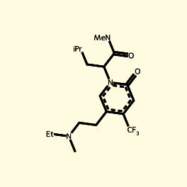 CCN(C)CCc1cn(C(CC(C)C)C(=O)NC)c(=O)cc1C(F)(F)F